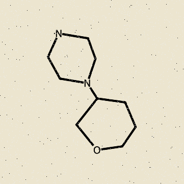 C1COCC(N2CC[N]CC2)C1